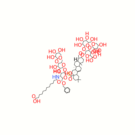 CC1O[C@@H](OC2C(O)[C@@H](NC(=O)CCCCCCCCCCC(=O)O)C(COCc3ccccc3)O[C@H]2SC(=O)[C@]23CCC(C)(C)CC2C2=CCC4C5(C)CC[C@H](O[C@@H]6OC(C(=O)O)[C@@H](O)[C@H](O[C@@H]7OC[C@@H](O)[C@@H](O)C7O)C6O[C@@H]6OC(CO)[C@@H](O)[C@H](O)C6O)[C@](C)(C=O)[C@@H]5CC[C@]4(C)[C@]2(C)CC3O)C(O)C(O)[C@H]1O[C@@H]1OC[C@@H](O)C(O)C1O